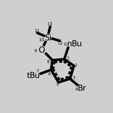 CCCCc1cc(Br)cc(C(C)(C)C)c1O[Si](C)(C)C